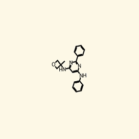 CC1(Nc2cc(Nc3ccccc3)nc(-c3ccccc3)n2)COC1